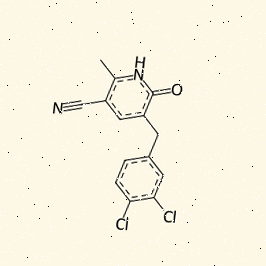 Cc1[nH]c(=O)c(Cc2ccc(Cl)c(Cl)c2)cc1C#N